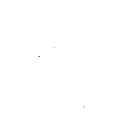 CC(=O)NC[C@H]1CN(c2ccc(N3C[C@@H]4CN(C(=O)COC(C)=O)[C@@H]4C3)c(F)c2)C(=O)O1